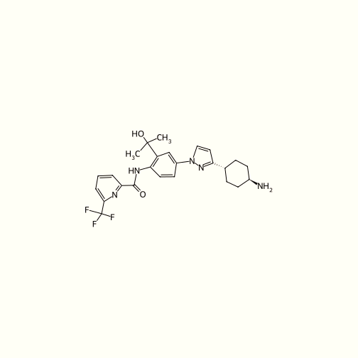 CC(C)(O)c1cc(-n2ccc([C@H]3CC[C@H](N)CC3)n2)ccc1NC(=O)c1cccc(C(F)(F)F)n1